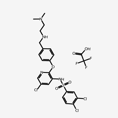 CN(C)CCNCc1ccc(Oc2ncc(Cl)cc2NS(=O)(=O)c2ccc(Cl)c(Cl)c2)cc1.O=C(O)C(F)(F)F